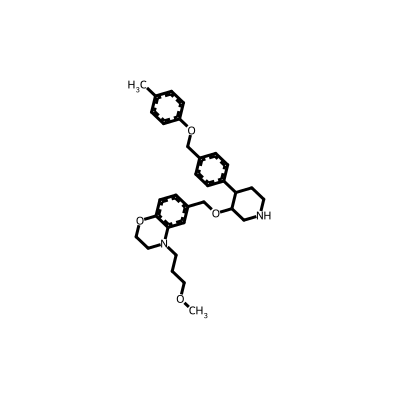 COCCCN1CCOc2ccc(COC3CNCCC3c3ccc(COc4ccc(C)cc4)cc3)cc21